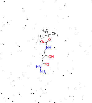 CC(C)(C)OC(=O)NCC(O)CC(=O)NN